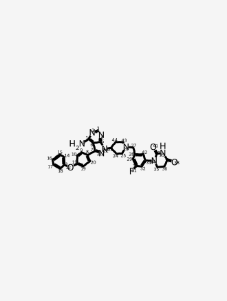 Nc1ncnc2c1c(-c1ccc(Oc3ccccc3)cc1)nn2C1CCN(Cc2cc(F)cc(N3CCC(=O)NC3=O)c2)CC1